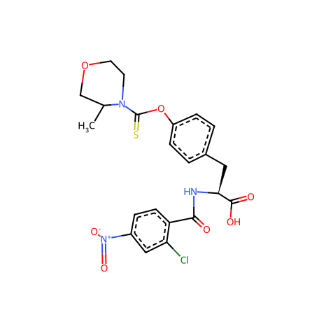 CC1COCCN1C(=S)Oc1ccc(C[C@H](NC(=O)c2ccc([N+](=O)[O-])cc2Cl)C(=O)O)cc1